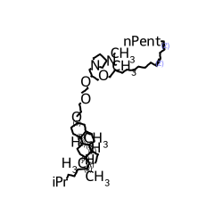 CCCCC/C=C\C/C=C\CCCCCCCCOCC(CN1CCC(N(C)C)C1)OCCOCCO[C@H]1CC[C@@]2(C)C(=CC[C@H]3[C@@H]4CC[C@H]([C@H](C)CCCC(C)C)[C@@]4(C)CC[C@@H]32)C1